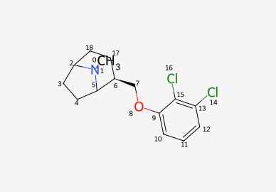 CN1C2CCC1[C@H](COc1cccc(Cl)c1Cl)CC2